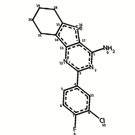 Nc1nc(-c2ccc(F)c(Cl)c2)nc2c3c([se]c12)CCCC3